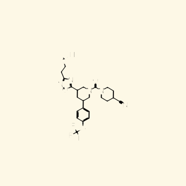 COCCc1noc(C2CC(c3ccc(OC(F)(F)F)cc3)CN(C(=O)N3CCC(C#N)CC3)C2)n1